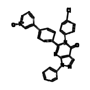 O=c1c2cnn(-c3ccccc3)c2nc(-c2ccc(-c3ccc[n+]([O-])c3)cc2)n1-c1ccc(Cl)cc1